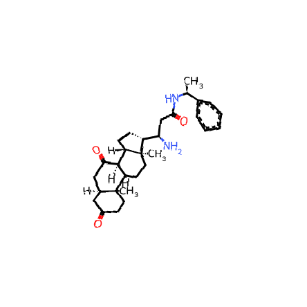 C[C@H](NC(=O)C[C@@H](N)[C@H]1CC[C@H]2[C@@H]3C(=O)C[C@@H]4CC(=O)CC[C@]4(C)[C@H]3CC[C@]12C)c1ccccc1